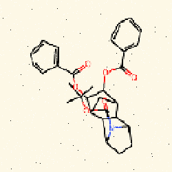 CC(C)(C)OC(=O)N1C2CCC1C1C3CC(C(OC(=O)c4ccccc4)C3OC(=O)c3ccccc3)C12